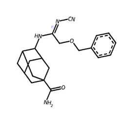 N#C/N=C(\COCc1ccccc1)NC1C2CC3CC1CC(C(N)=O)(C3)C2